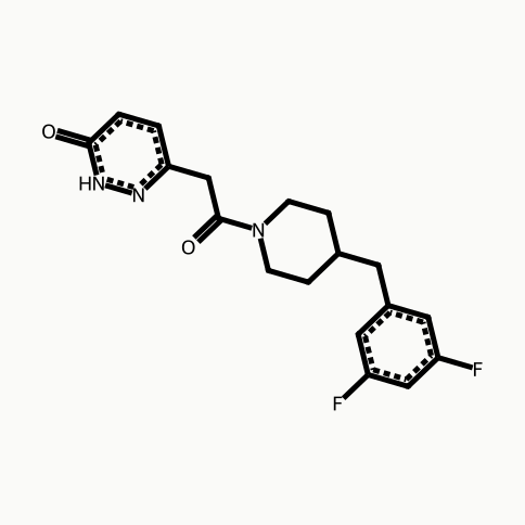 O=C(Cc1ccc(=O)[nH]n1)N1CCC(Cc2cc(F)cc(F)c2)CC1